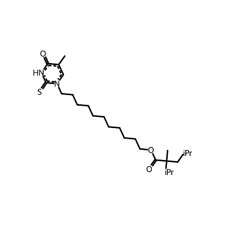 Cc1cn(CCCCCCCCCCCOC(=O)C(C)(CC(C)C)C(C)C)c(=S)[nH]c1=O